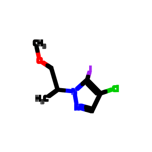 COCC(C)n1ncc(Cl)c1I